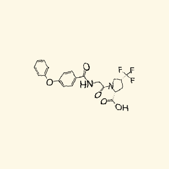 O=C(NCC(=O)N1C[C@H](C(F)(F)F)C[C@@H]1C(=O)O)c1ccc(Oc2ccccc2)cc1